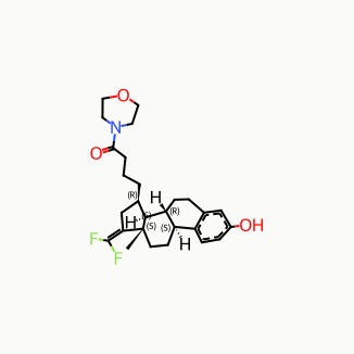 C[C@]12CC[C@@H]3c4ccc(O)cc4CC[C@H]3[C@@H]1[C@H](CCCC(=O)N1CCOCC1)CC2=C(F)F